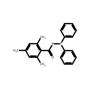 Cc1cc(C)c(C(=O)[P]P(c2ccccc2)c2ccccc2)c(C)c1